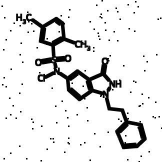 Cc1ccc(C)c(S(=O)(=O)N(Cl)c2ccc3c(c2)c(=O)[nH]n3CCc2ccccc2)c1